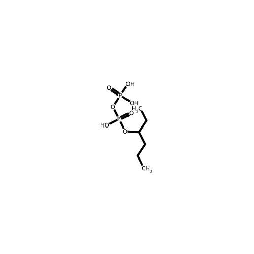 CCCC(CC)OP(=O)(O)OP(=O)(O)O